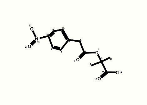 CC(C)(OC(=O)Cc1ccc([N+](=O)[O-])cc1)C(=O)Cl